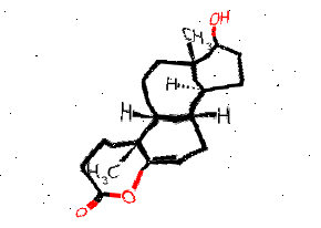 C[C@]12CCC(=O)OC1=CC[C@@H]1[C@H]2CC[C@]2(C)C(O)CC[C@@H]12